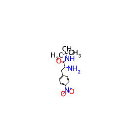 CC(C)(C)NC(=O)C(N)Cc1ccc([N+](=O)[O-])cc1